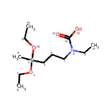 CCO[Si](C)(CCCN(CC)C(=O)O)OCC